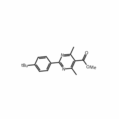 COC(=O)c1c(C)nc(-c2ccc(C(C)(C)C)cc2)nc1C